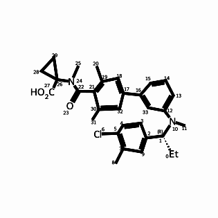 CC[C@H](c1ccc(Cl)c(C)c1)N(C)c1cccc(-c2cc(C)c(C(=O)N(C)C3(C(=O)O)CC3)c(C)c2)c1